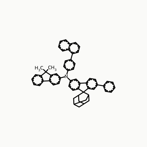 CC1(C)c2ccccc2-c2ccc(N(c3ccc(-c4cccc5ccccc45)cc3)c3ccc4c(c3)-c3ccc(-c5ccccc5)cc3C43C4CC5CC(C4)CC3C5)cc21